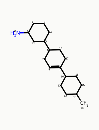 NC1CCCC(C2CC=C(C3CCC(C(F)(F)F)CC3)CC2)C1